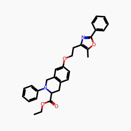 CCOC(=O)C1Cc2ccc(OCCc3nc(-c4ccccc4)oc3C)cc2CN1c1ccccc1